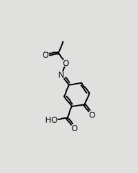 CC(=O)ON=C1C=CC(=O)C(C(=O)O)=C1